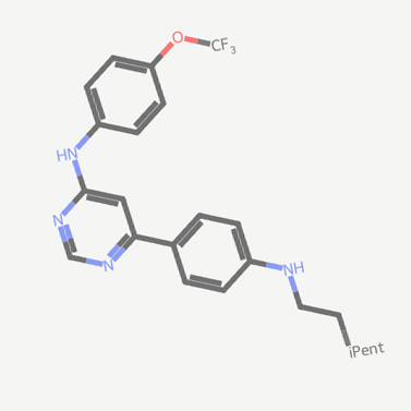 CCCC(C)CCNc1ccc(-c2cc(Nc3ccc(OC(F)(F)F)cc3)ncn2)cc1